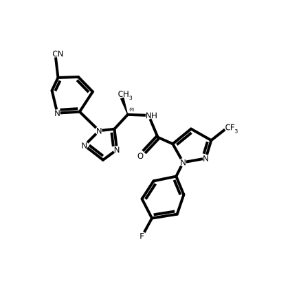 C[C@@H](NC(=O)c1cc(C(F)(F)F)nn1-c1ccc(F)cc1)c1ncnn1-c1ccc(C#N)cn1